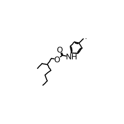 [CH2]c1ccc(NC(=O)OCC(CC)CCCC)cc1